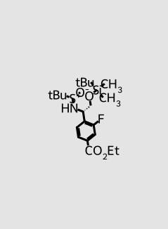 CCOC(=O)c1ccc([C@@H](CO[Si](C)(C)C(C)(C)C)N[S+]([O-])C(C)(C)C)c(F)c1